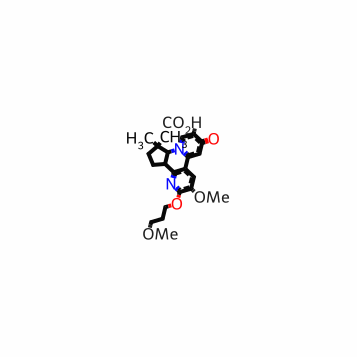 COCCCOc1nc2c(cc1OC)-c1cc(=O)c(C(=O)O)cn1C1C2CCC1(C)C